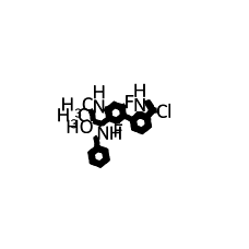 CC1(C)Nc2cc(F)c(-c3cccc4c(Cl)c[nH]c34)c(F)c2C(NCc2ccccc2)C1O